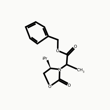 CC(C)[C@@H]1COC(=O)N1C(C)C(=O)OCc1ccccc1